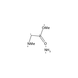 CNCC(=O)OC.N